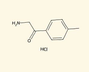 Cc1ccc(C(=O)CN)cc1.Cl